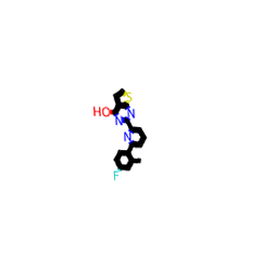 Cc1cc(F)ccc1-c1cccc(-c2nc(O)c3ccsc3n2)n1